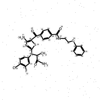 CC(C(N)=O)N(c1ccc(Cl)c(F)c1)c1nc(N)c(C(=O)c2ccc(C(=O)NCCOc3ccccc3)cc2)s1